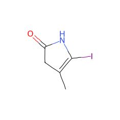 CC1=C(I)NC(=O)C1